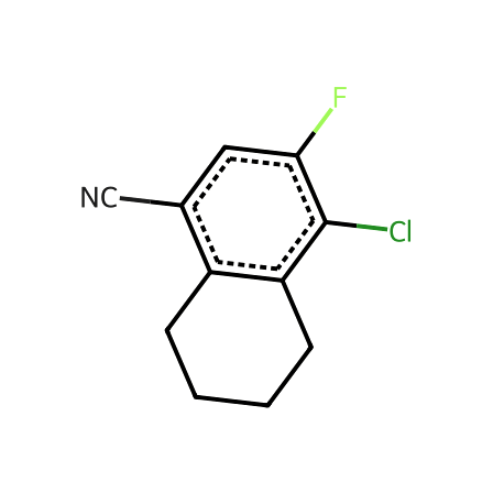 N#Cc1cc(F)c(Cl)c2c1CCCC2